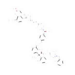 O=C1C=Cc2c([C@@H](O)CNCCC3CCN(C(=O)c4ccc(COc5cccc([C@](O)(C(=O)OCC6CCN(Cc7ccccc7)CC6)c6ccccc6)c5)cc4)CC3)ccc(O)c2C1